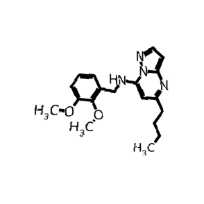 CCCCc1cc(NCc2cccc(OC)c2OC)n2nccc2n1